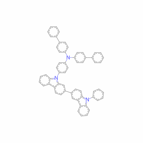 c1ccc(-c2ccc(N(c3ccc(-c4ccccc4)cc3)c3ccc(-n4c5ccccc5c5ccc(-c6ccc7c(c6)c6ccccc6n7-c6ccccc6)cc54)cc3)cc2)cc1